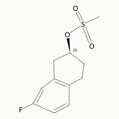 CS(=O)(=O)O[C@H]1CCc2ccc(F)cc2C1